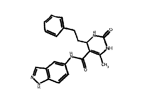 CC1=C(C(=O)Nc2ccc3[nH]ncc3c2)C(CCc2ccccc2)NC(=O)N1